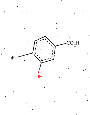 CC(C)c1ccc(C(=O)O)cc1O